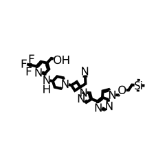 C[Si](C)(C)CCOCn1ccc2c(-c3cnn(C4(CC#N)CC(N5CCC(Nc6cc(CO)cc(C(F)(F)F)n6)CC5)C4)c3)ncnc21